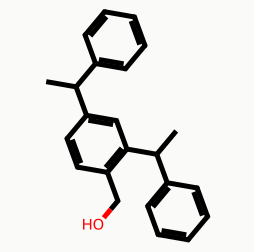 CC(c1ccccc1)c1ccc(CO)c(C(C)c2ccccc2)c1